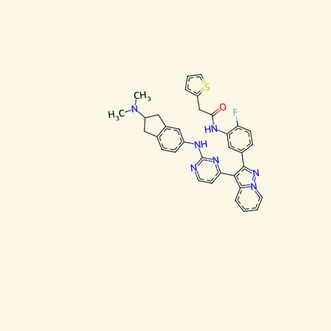 CN(C)C1Cc2ccc(Nc3nccc(-c4c(-c5ccc(F)c(NC(=O)Cc6cccs6)c5)nn5ccccc45)n3)cc2C1